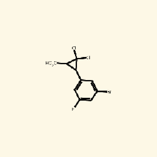 O=C(O)C1C(c2cc(F)cc(Br)c2)C1(Cl)Cl